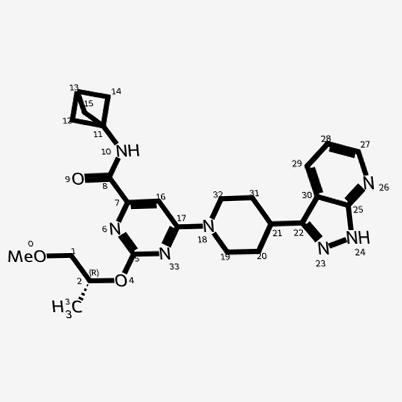 COC[C@@H](C)Oc1nc(C(=O)NC23CC(C2)C3)cc(N2CCC(c3n[nH]c4ncccc34)CC2)n1